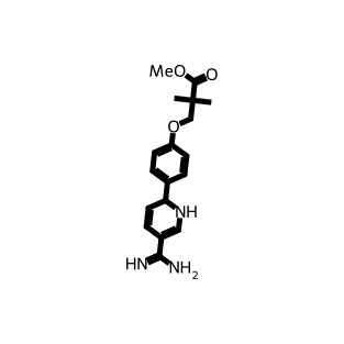 COC(=O)C(C)(C)COc1ccc(C2C=CC(C(=N)N)=CN2)cc1